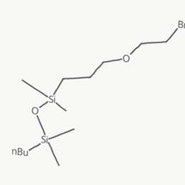 CCCC[Si](C)(C)O[Si](C)(C)CCCOCCBr